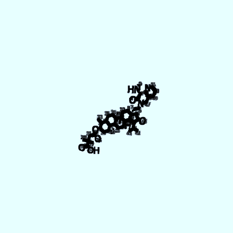 CNCC(=O)N(CC[C@@]12CC[C@]3(C)[C@H](CCC4[C@@]5(C)CC[C@H](OC(=O)CC(C)(C)C(=O)O)C(C)C5CC[C@]43C)C1=C(C(C)C)C(=O)C2)Cc1cccnc1